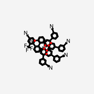 N#Cc1cccc(-c2ccc3c(c2)c2cc(-c4cccc(C#N)c4)ccc2n3-c2cccc(C#N)c2-c2c(-c3ccc(C#N)cc3C(F)(F)F)cccc2-n2c3ccc(-c4cccc(C#N)c4)cc3c3cc(-c4cccc(C#N)c4)ccc32)c1